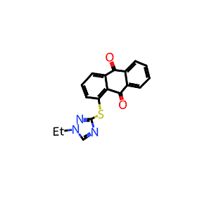 CCn1cnc(Sc2cccc3c2C(=O)c2ccccc2C3=O)n1